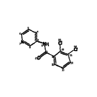 O=C(Nc1cccnc1)c1cccc(Cl)c1Cl